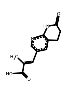 C/C(=C\c1cnc2c(c1)CCC(=O)N2)C(=O)O